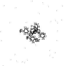 CC1(c2cc[n+]([O-])c(-c3ccc(F)cc3)c2)CCCN1C(=O)OCc1ccccc1.Fc1ccc(Br)cc1